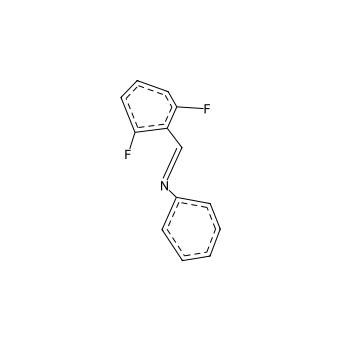 Fc1cccc(F)c1C=Nc1ccccc1